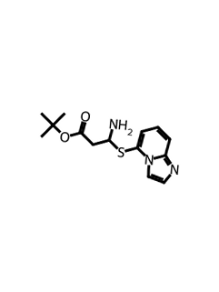 CC(C)(C)OC(=O)CC(N)Sc1cccc2nccn12